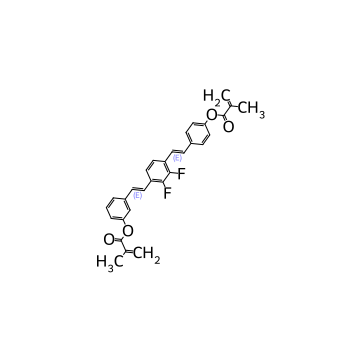 C=C(C)C(=O)Oc1ccc(/C=C/c2ccc(/C=C/c3cccc(OC(=O)C(=C)C)c3)c(F)c2F)cc1